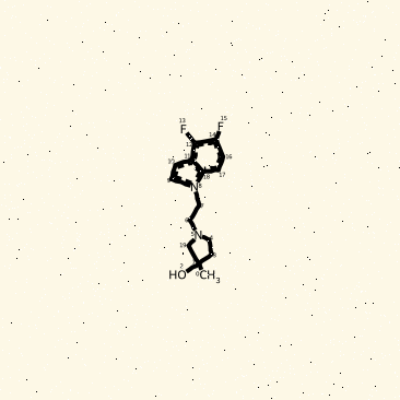 CC1(O)CCN(CCn2ccc3c(F)c(F)ccc32)C1